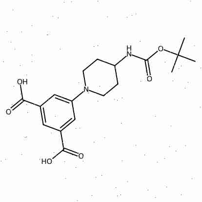 CC(C)(C)OC(=O)NC1CCN(c2cc(C(=O)O)cc(C(=O)O)c2)CC1